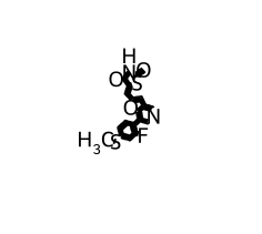 CSc1ccc(-c2cncc3cc(/C=C4\SC(=O)NC4=O)oc23)c(F)c1